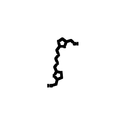 OCC1CSC(CSCSCC2SCC(CO)S2)S1